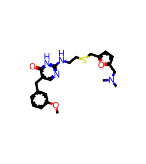 COc1cccc(Cc2cnc(NCCSCc3ccc(CN(C)C)o3)[nH]c2=O)c1